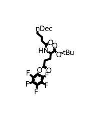 CCCCCCCCCCCCCC(=O)NC(CCC(=O)Oc1c(F)c(F)c(F)c(F)c1F)C(=O)OC(C)(C)C